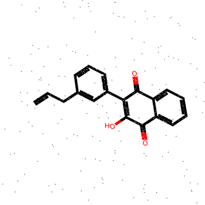 C=CCc1cccc(C2=C(O)C(=O)c3ccccc3C2=O)c1